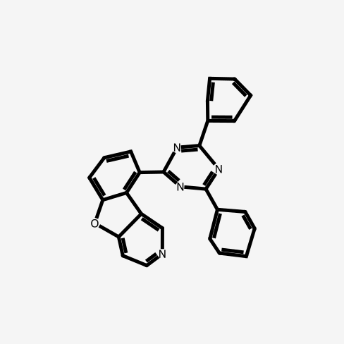 c1ccc(-c2nc(-c3ccccc3)nc(-c3cccc4oc5ccncc5c34)n2)cc1